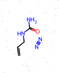 C=CCNC(N)=O.N#N